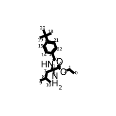 CCOC(=O)[C@@](N)(CC(C)C)NCc1ccc(C(C)(C)C)cc1